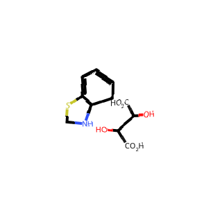 C1=CCC2NCSC2=C1.O=C(O)C(O)C(O)C(=O)O